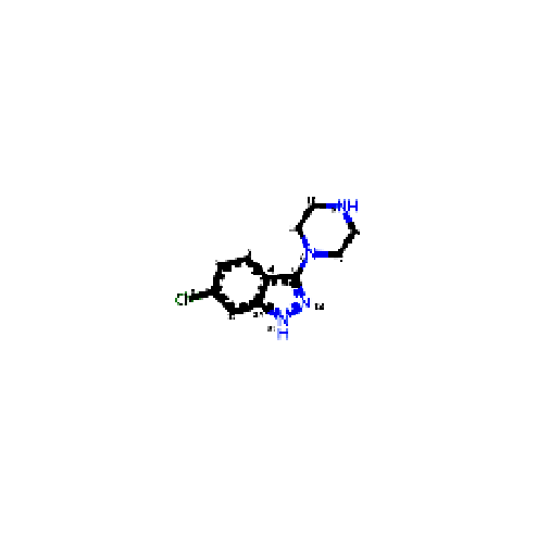 Clc1ccc2c(N3CCNCC3)n[nH]c2c1